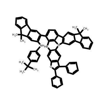 CC(C)(C)c1ccc(Nc2cc3c(cc2-c2ccc4c5cc6c(cc5n5c4c2Bc2cc4oc(-c7ccccc7)c(-c7ccccc7)c4cc2-5)-c2ccccc2C6(C)C)-c2ccccc2C3(C)C)cc1